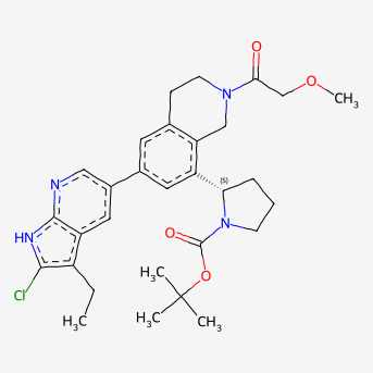 CCc1c(Cl)[nH]c2ncc(-c3cc4c(c([C@@H]5CCCN5C(=O)OC(C)(C)C)c3)CN(C(=O)COC)CC4)cc12